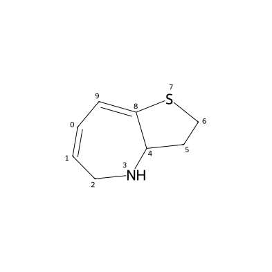 C1=CCNC2CCSC2=C1